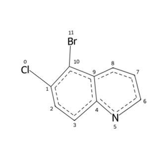 Clc1ccc2ncccc2c1Br